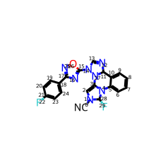 N#CN1C=C2N(c3ccccc3C3N=CN(c4nc(-c5ccc(F)cc5)no4)N23)C1F